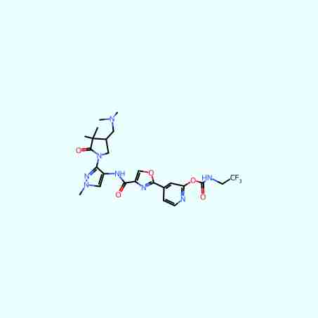 CN(C)CC1CN(c2nn(C)cc2NC(=O)c2coc(-c3ccnc(OC(=O)NCC(F)(F)F)c3)n2)C(=O)C1(C)C